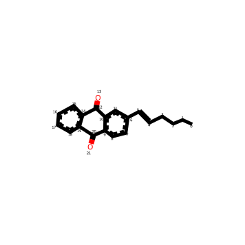 CCCCC=Cc1ccc2c(c1)C(=O)c1ccccc1C2=O